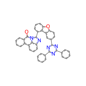 O=c1c2ccccc2c2cccc3nc(-c4cccc5oc6ccc(-c7nc(-c8ccccc8)nc(-c8ccccc8)n7)cc6c45)n1c32